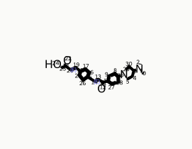 CN(C)C1CCN(c2ccc(C(=O)/C=C/c3ccc(/C=C/C(=O)CO)cc3)cc2)CC1